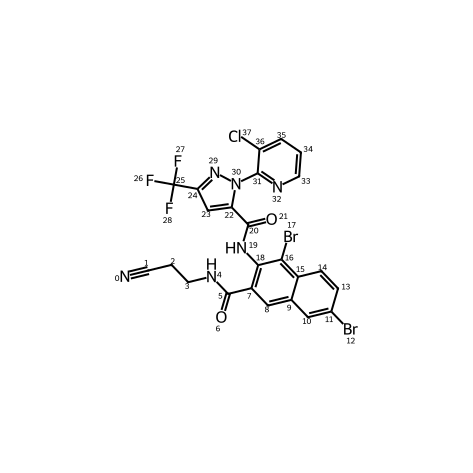 N#CCCNC(=O)c1cc2cc(Br)ccc2c(Br)c1NC(=O)c1cc(C(F)(F)F)nn1-c1ncccc1Cl